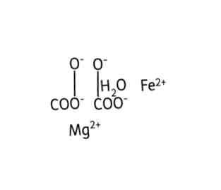 O.O=C([O-])[O-].O=C([O-])[O-].[Fe+2].[Mg+2]